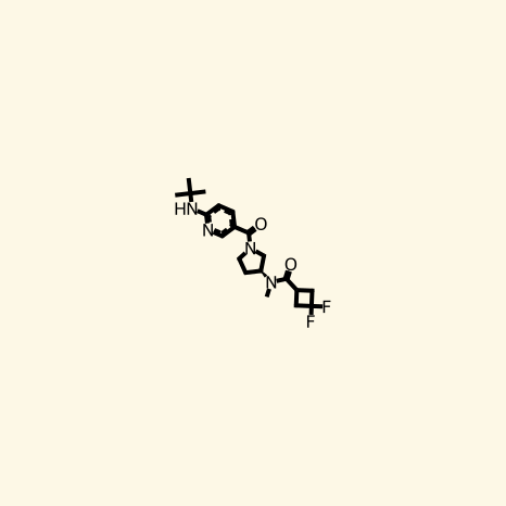 CN(C(=O)C1CC(F)(F)C1)[C@H]1CCN(C(=O)c2ccc(NC(C)(C)C)nc2)C1